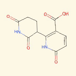 O=C1CCC(c2[nH]c(=O)ccc2C(=O)O)C(=O)N1